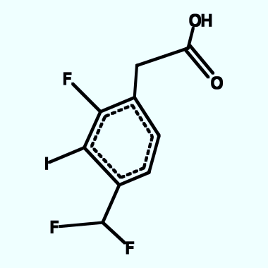 O=C(O)Cc1ccc(C(F)F)c(I)c1F